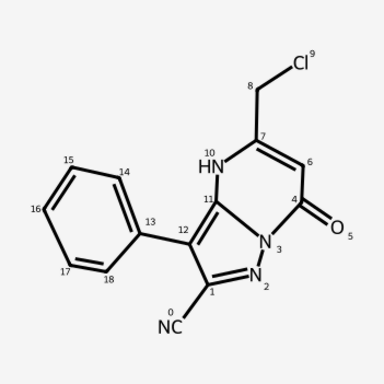 N#Cc1nn2c(=O)cc(CCl)[nH]c2c1-c1ccccc1